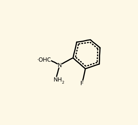 NN([C]=O)c1ccccc1F